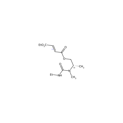 CCNC(=O)N(C)[C@@H](C)COC(=O)/C=C/C(=O)OCC